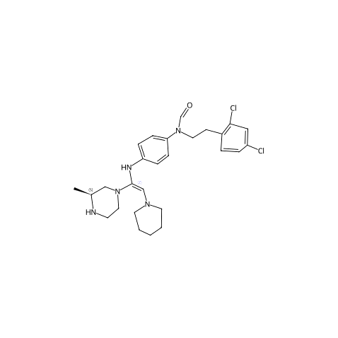 C[C@H]1CN(/C(=C\N2CCCCC2)Nc2ccc(N(C=O)CCc3ccc(Cl)cc3Cl)cc2)CCN1